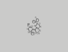 COC(=O)c1ccc2c(c1)C(c1cc(F)ccc1Cl)=CCC2